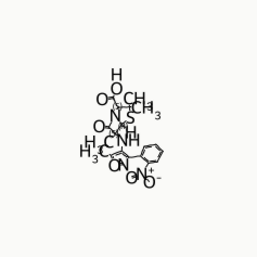 Cc1onc(-c2ccccc2[N+](=O)[O-])c1N[C@@]1(C)C(=O)N2[C@@H](C(=O)O)C(C)(C)S[C@@H]21